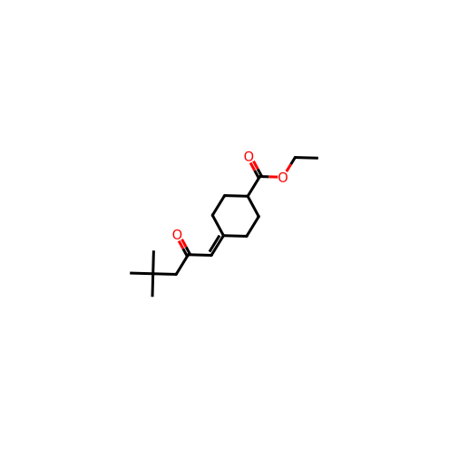 CCOC(=O)C1CCC(=CC(=O)CC(C)(C)C)CC1